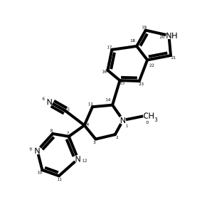 CN1CCC(C#N)(c2cnccn2)CC1c1ccc2c[nH]cc2c1